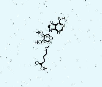 Nc1ncnc2c1ncn2[C@@H]1O[C@H](CSCCCC(=O)O)[C@@H](O)[C@H]1O